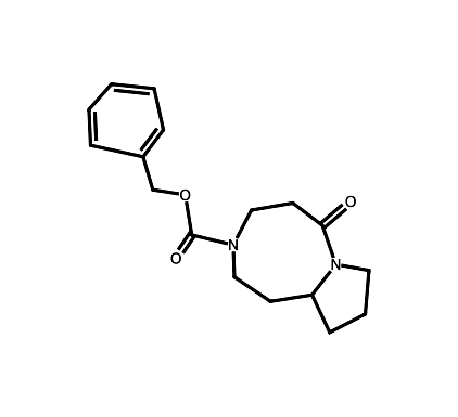 O=C(OCc1ccccc1)N1CCC(=O)N2CCCC2CC1